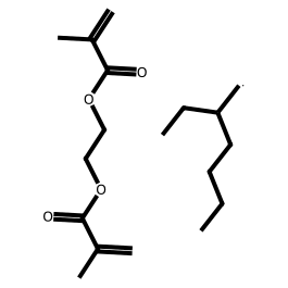 C=C(C)C(=O)OCCOC(=O)C(=C)C.[CH2]C(CC)CCCC